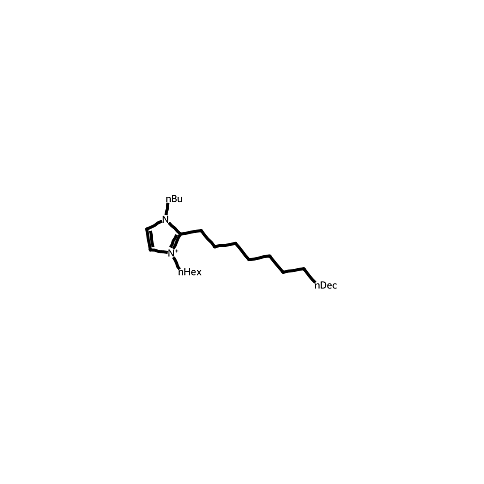 CCCCCCCCCCCCCCCCCc1n(CCCC)cc[n+]1CCCCCC